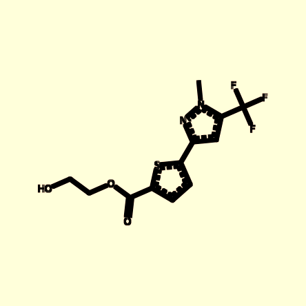 Cn1nc(-c2ccc(C(=O)OCCO)s2)cc1C(F)(F)F